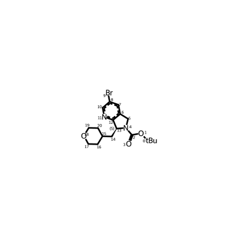 CC(C)(C)OC(=O)N1Cc2cc(Br)cnc2[C@@H]1CC1CCOCC1